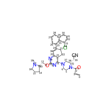 C=CC(=O)N1CCN(c2nc(OC[C@@H]3CCCN3C)nc3c2CCC(c2cccc4cccc(Cl)c24)=C3)C[C@@H]1CC#N